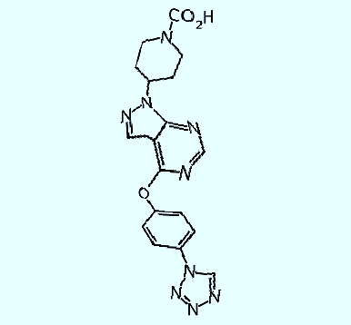 O=C(O)N1CCC(n2ncc3c(Oc4ccc(-n5cnnn5)cc4)ncnc32)CC1